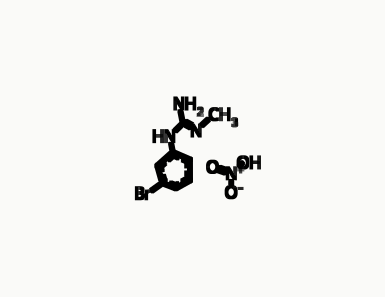 CN=C(N)Nc1cccc(Br)c1.O=[N+]([O-])O